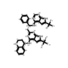 FC(F)(F)c1cc2c(N[C@H](Cc3nc(N[C@@H]4CCOc5ccccc54)c4cc(C(F)(F)F)[nH]c4n3)c3ccccc3)ncnc2[nH]1